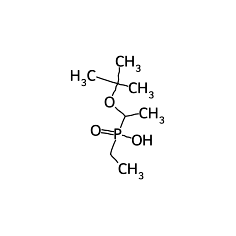 CCP(=O)(O)C(C)OC(C)(C)C